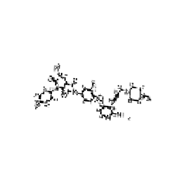 CC(C)n1cc(C(=O)Nc2ccc(Oc3ccnc(N)c3C#CCN3CCN(C)CC3)c(F)c2)c(=O)n(-c2ccc(F)cc2)c1=O